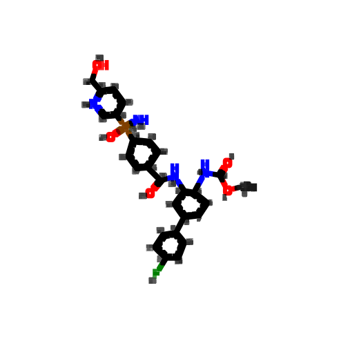 CC(C)(C)OC(=O)Nc1ccc(-c2ccc(F)cc2)cc1NC(=O)c1ccc(S(=N)(=O)c2ccc(CO)nc2)cc1